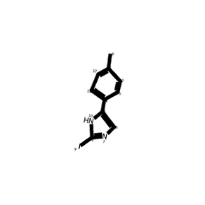 Cc1ccc(-c2cnc(I)[nH]2)cc1